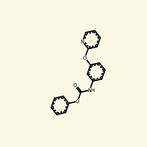 O=C(Nc1cccc(Oc2ccccn2)c1)Oc1ccccc1